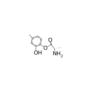 Cc1ccc(OC(=O)[C@H](C)N)c(O)c1